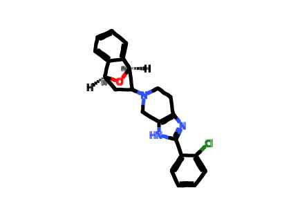 Clc1ccccc1-c1nc2c([nH]1)CN(C1C[C@@H]3O[C@H]1c1ccccc13)CC2